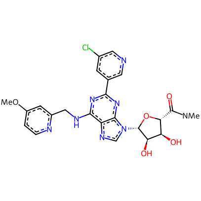 CNC(=O)[C@H]1O[C@@H](n2cnc3c(NCc4cc(OC)ccn4)nc(-c4cncc(Cl)c4)nc32)[C@H](O)[C@@H]1O